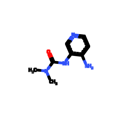 CN(C)C(=O)Nc1cnccc1N